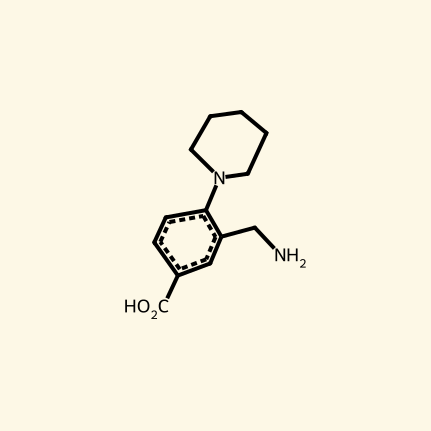 NCc1cc(C(=O)O)ccc1N1CCCCC1